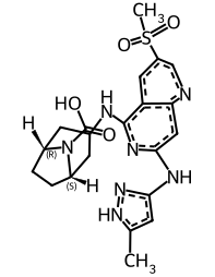 Cc1cc(Nc2cc3ncc(S(C)(=O)=O)cc3c(NC3C[C@H]4CC[C@@H](C3)N4C(=O)O)n2)n[nH]1